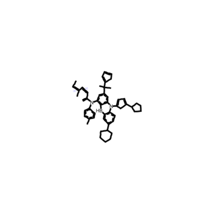 C=C(/C=C\C(C)=C/C)N(c1ccc(C)cc1)c1cc(C(C)(C)C2=CC=CC2)cc2c1Bc1cc(C3CCCCC3)ccc1N2C1=CC=C(C2CCCC2)C1